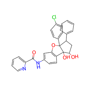 O=C(Nc1ccc2c(c1)OC1(c3ccc(Cl)cc3)C(c3ccccc3)CC(O)C21O)c1ccccn1